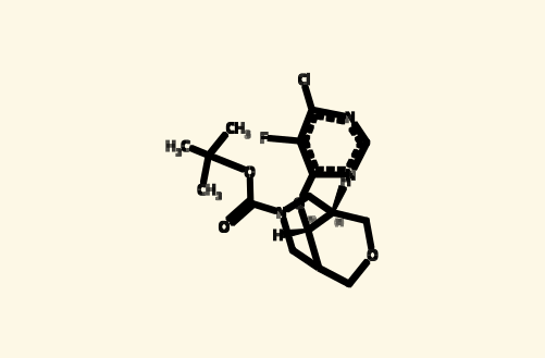 CC(C)(C)OC(=O)N1CC2COC[C@@H](C1)[C@H]2Oc1ncnc(Cl)c1F